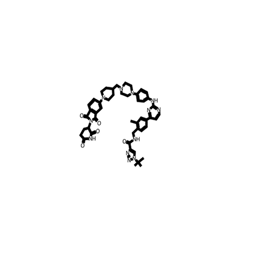 Cc1cc(-c2ccnc(Nc3ccc(N4CCN(CC5CCN(c6ccc7c(c6)C(=O)N(C6CCC(=O)NC6=O)C7=O)CC5)CC4)cc3)n2)ccc1CNC(=O)c1cn(C(C)(C)C)nn1